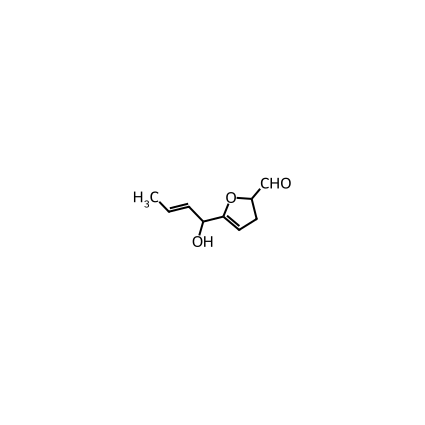 CC=CC(O)C1=CCC(C=O)O1